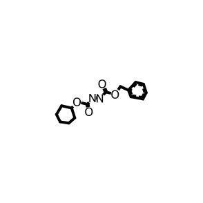 O=C(N=NC(=O)OC1CCCCC1)OCc1ccccc1